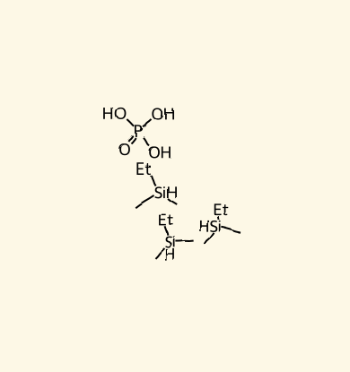 CC[SiH](C)C.CC[SiH](C)C.CC[SiH](C)C.O=P(O)(O)O